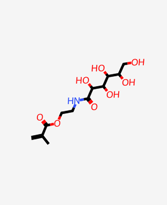 C=C(C)C(=O)OCCNC(=O)C(O)C(O)C(O)C(O)CO